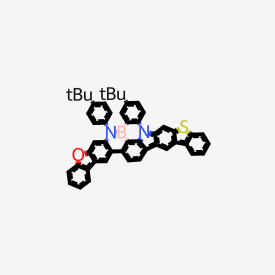 CC(C)(C)c1ccc(N2B3c4cc(C(C)(C)C)ccc4-n4c5cc6sc7ccccc7c6cc5c5ccc(c3c54)-c3cc4c(cc32)oc2ccccc24)cc1